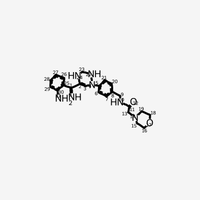 N=C(C1=CN(c2ccc(CNC(=O)CN3CCOCC3)cc2)NCN1)c1ccccc1N